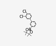 CC1(C)OB(c2cccc(-c3ccc(Cl)c(Cl)c3)c2)OC1(C)C